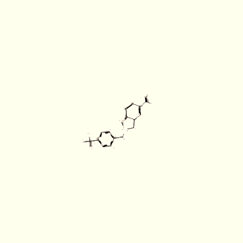 O=C(O)C1=CC2CN(Cc3ccc(C(F)(F)F)cc3)N=C2C=C1